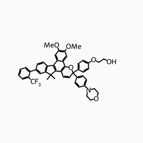 COc1cc2c3c(c4c(c2cc1OC)-c1ccc(-c2ccccc2C(F)(F)F)cc1C4(C)C)C=CC(c1ccc(OCCO)cc1)(c1ccc(N2CCOCC2)cc1)O3